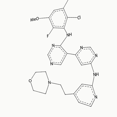 COc1cc(OC)c(Cl)c(Nc2ncncc2-c2cc(Nc3cc(CCN4CCOCC4)ccn3)ncn2)c1F